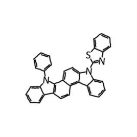 c1ccc(-n2c3ccccc3c3ccc4c(ccc5c4c4ccccc4n5-c4nc5ccccc5s4)c32)cc1